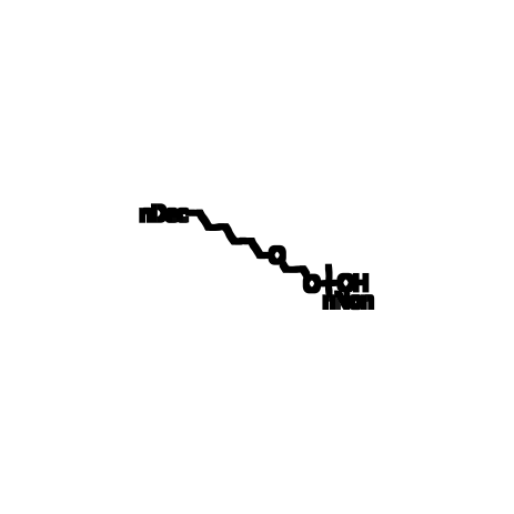 CCCCCCCCCCCCCCCCOCCOC(C)(O)CCCCCCCCC